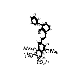 COc1cc(/C=C/c2cccc(-c3ccccc3)c2C)cc(OC)c1CN(CO)C(=O)O